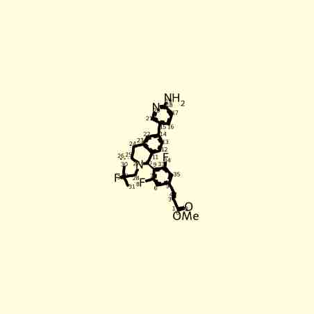 COC(=O)/C=C/c1cc(F)c([C@@H]2c3ccc(-c4ccc(N)nc4)cc3C[C@@H](C)N2CC(C)(C)F)c(F)c1